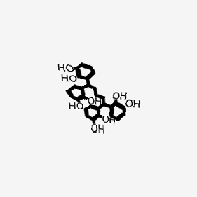 Oc1cccc(C(CCCC(c2cccc(O)c2O)c2cccc(O)c2O)c2cccc(O)c2O)c1O